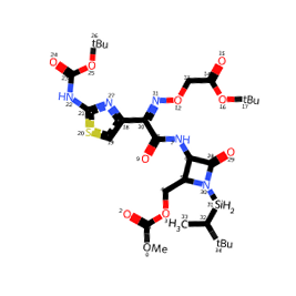 COC(=O)OCC1C(NC(=O)C(=NOCC(=O)OC(C)(C)C)c2csc(NC(=O)OC(C)(C)C)n2)C(=O)N1[SiH2]C(C)C(C)(C)C